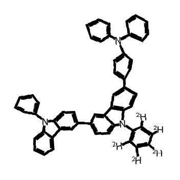 [2H]c1c([2H])c([2H])c(-n2c3ccc(-c4ccc(N(c5ccccc5)c5ccccc5)cc4)cc3c3cc(-c4ccc5c(c4)c4ccccc4n5-c4ccccc4)ccc32)c([2H])c1[2H]